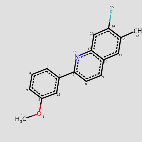 COc1cccc(-c2ccc3cc(C)c(F)cc3n2)c1